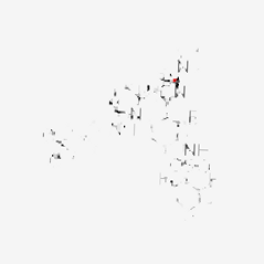 CN1CC2CC(C1)N2c1nc(-c2cccc(NS(=O)(=O)c3c(F)cccc3F)c2F)c(-c2ccnc(NC3CC4(C3)CS(=O)(=O)C4)n2)s1